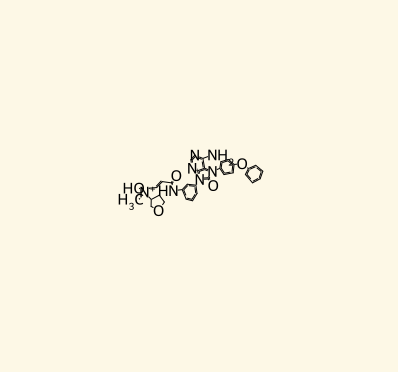 C[N@@+](O)(C/C=C/C(=O)Nc1cccc(-n2c(=O)n(-c3ccc(Oc4ccccc4)cc3)c3c(N)ncnc32)c1)C1CCOC1